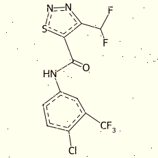 O=C(Nc1ccc(Cl)c(C(F)(F)F)c1)c1snnc1C(F)F